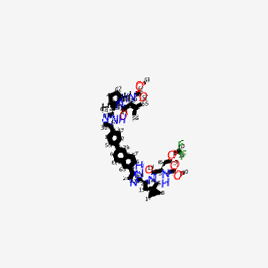 COC(=O)N[C@@H](CCOC(F)F)C(=O)N1CC2(CC2)C[C@H]1c1ncc(-c2ccc3cc(-c4ccc(C5CN=C([C@@H]6[C@H]7CC[C@H](C7)N6C(=O)[C@@H](NC(=O)OC)C(C)C)N5)cc4)ccc3c2)[nH]1